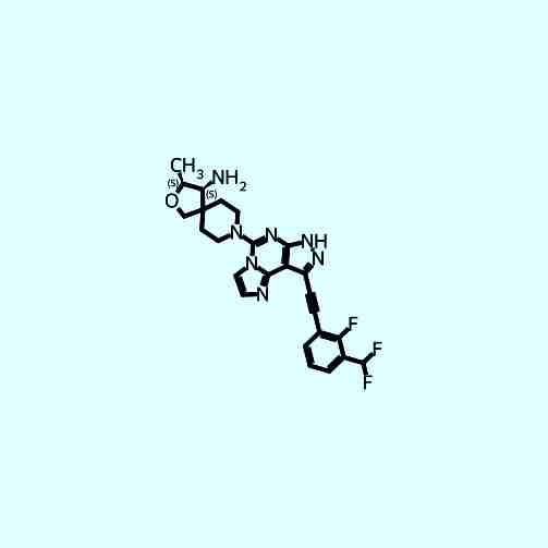 C[C@@H]1OCC2(CCN(c3nc4[nH]nc(C#Cc5cccc(C(F)F)c5F)c4c4nccn34)CC2)[C@@H]1N